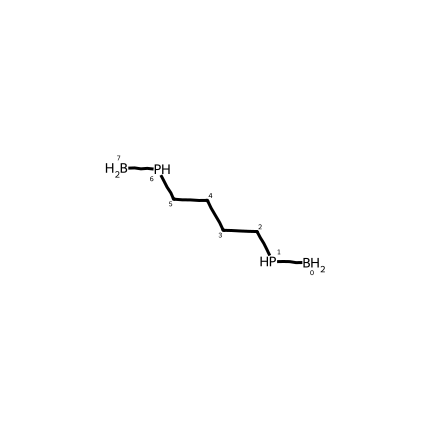 BPCCCCPB